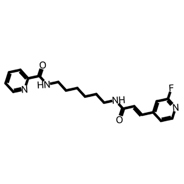 O=C(C=Cc1ccnc(F)c1)NCCCCCCNC(=O)c1ccccn1